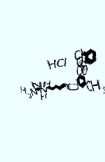 Cc1cc(OCCCCCNC(=N)N)cc(OS(=O)(=O)c2ccccc2Cl)c1.Cl